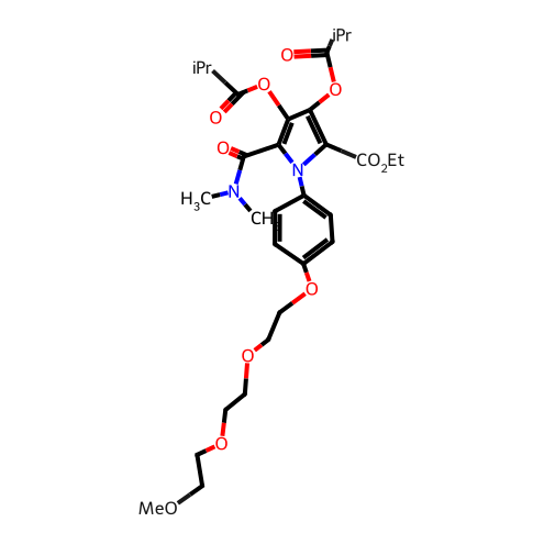 CCOC(=O)c1c(OC(=O)C(C)C)c(OC(=O)C(C)C)c(C(=O)N(C)C)n1-c1ccc(OCCOCCOCCOC)cc1